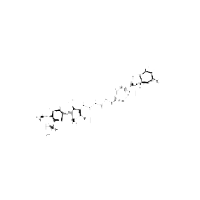 CC1=C(CCCCCCN2CCN(C(=O)Nc3cc(Cl)cc(Cl)c3)CC2)C(=O)N(c2ccc(C#N)c(C(F)(F)F)c2)C1=O